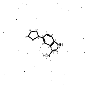 Nc1n[nH]c2ccc(C3CCCC3)cc12